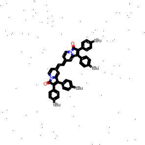 CC(C)(C)c1ccc(C2=C(c3ccc(C(C)(C)C)cc3)C3=CC(=C/C=C4\C=CN5C(=O)C(c6ccc(C(C)(C)C)cc6)=C(c6ccc(C(C)(C)C)cc6)C5=C4)C=CN3C2=O)cc1